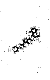 C#CCC(Oc1c(N)ncc2c(-c3cnn(C4CCNCC4)c3)coc12)c1c(Cl)ccc(F)c1Cl